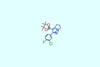 CC1(C)OB(c2c(-c3ccc(F)c(Cl)c3)nn3c2CCC3)OC1(C)C